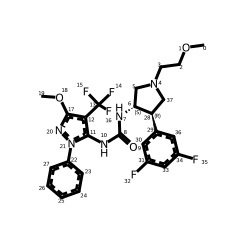 COCCN1C[C@@H](NC(=O)Nc2c(C(F)(F)F)c(OC)nn2-c2ccccc2)[C@H](c2cc(F)cc(F)c2)C1